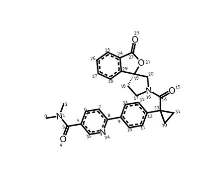 CN(C)C(=O)c1ccc(-c2ccc(C3(C(=O)N4CC[C@@]5(C4)OC(=O)c4ccccc45)CC3)cc2)nc1